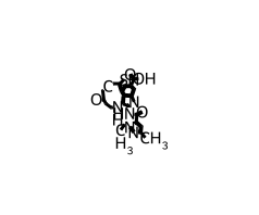 CCn1nc(C)cc1C(=O)NC1=Nc2cc(C(=O)O)c/c3c2=C1NCCC(=O)CCC/C=3S